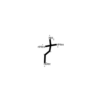 CCCCCCCCCCCCC(N)(CCCCCC)CCCCCC